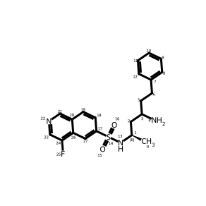 C[C@H](CC(N)CCc1ccccc1)NS(=O)(=O)c1ccc2cncc(F)c2c1